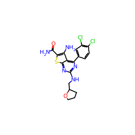 NC(=O)c1sc2nc(NCC3CCCO3)nc(-c3ccc(Cl)c(Cl)c3)c2c1N